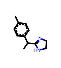 Cc1ccc(C(C)C2=NCCN2)cc1